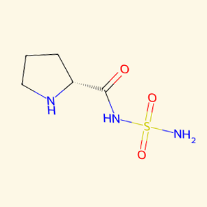 NS(=O)(=O)NC(=O)[C@H]1CCCN1